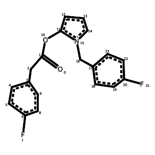 O=C(Cc1ccc(F)cc1)Oc1cccn1Cc1ccc(F)cc1